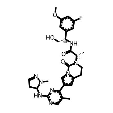 COc1cc(F)cc([C@@H](CO)NC(=O)[C@H](C)N2CCc3cc(-c4nc(NC5CC=NN5C)ncc4C)cn3C2=O)c1